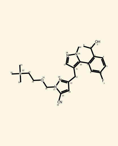 CC(O)c1ccc(F)cc1-c1c(Cc2cc(C#N)n(COCCS(C)(C)C)n2)cnn1C